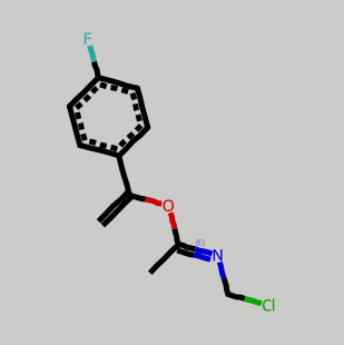 C=C(O/C(C)=N/CCl)c1ccc(F)cc1